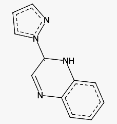 C1=Nc2ccccc2N[C]1n1cccn1